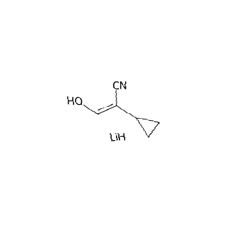 N#CC(=CO)C1CC1.[LiH]